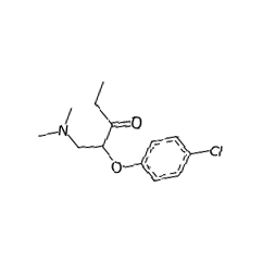 CCC(=O)C(CN(C)C)Oc1ccc(Cl)cc1